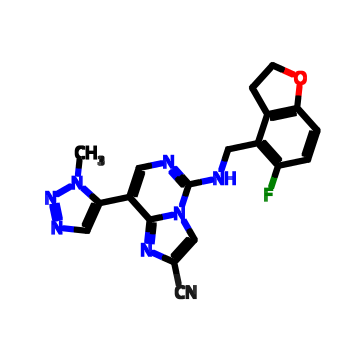 Cn1nncc1-c1cnc(NCc2c(F)ccc3c2CCO3)n2cc(C#N)nc12